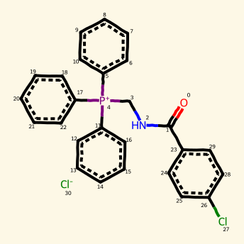 O=C(NC[P+](c1ccccc1)(c1ccccc1)c1ccccc1)c1ccc(Cl)cc1.[Cl-]